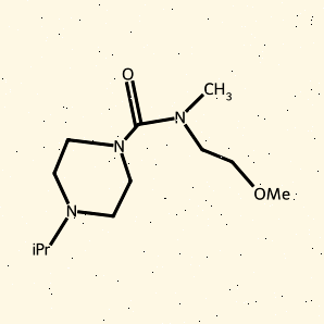 COCCN(C)C(=O)N1CCN(C(C)C)CC1